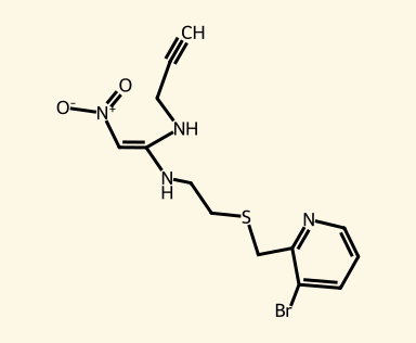 C#CCNC(=C[N+](=O)[O-])NCCSCc1ncccc1Br